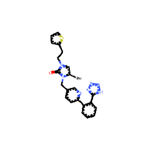 CCCCc1cn(CCc2cccs2)c(=O)n1Cc1ccc(-c2ccccc2-c2nnn[nH]2)nc1